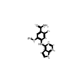 CC(C)Oc1cc(C(N)=O)c(F)cc1Nc1ncnc2sccc12